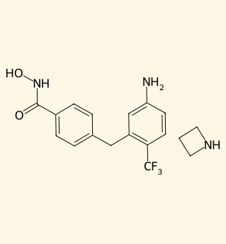 C1CNC1.Nc1ccc(C(F)(F)F)c(Cc2ccc(C(=O)NO)cc2)c1